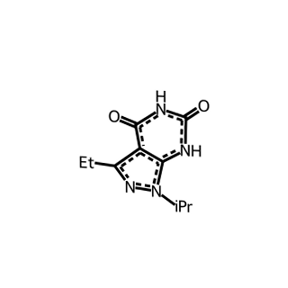 CCc1nn(C(C)C)c2[nH]c(=O)[nH]c(=O)c12